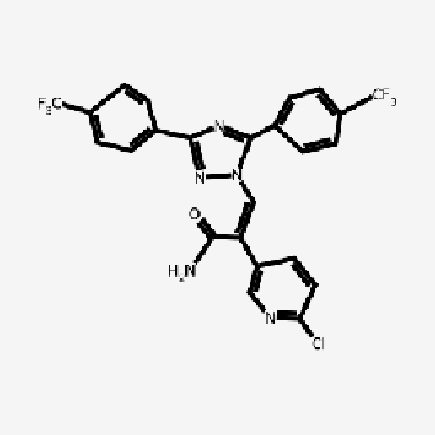 NC(=O)/C(=C\n1nc(-c2ccc(C(F)(F)F)cc2)nc1-c1ccc(C(F)(F)F)cc1)c1ccc(Cl)nc1